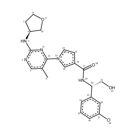 Cc1cnc(N[C@H]2CCOC2)nc1-n1ccc(C(=O)N[C@H](CO)c2cccc(Cl)c2)c1